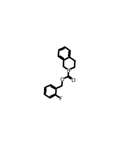 O=C(OCc1ccccc1F)N1CCc2ccccc2C1